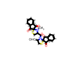 CN1C(C(=O)N2C(C=O)CSC23C(=O)c2ccccc2C3=O)CSC12C(=O)c1ccccc1C2=O